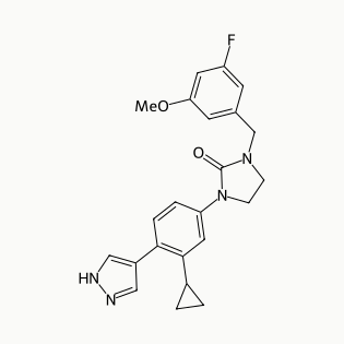 COc1cc(F)cc(CN2CCN(c3ccc(-c4cn[nH]c4)c(C4CC4)c3)C2=O)c1